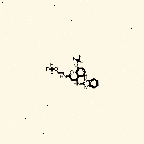 O=C(CC(Nc1nc2ccccc2[nH]1)c1cccc(OC(F)(F)F)c1)NCCOC(F)(F)F